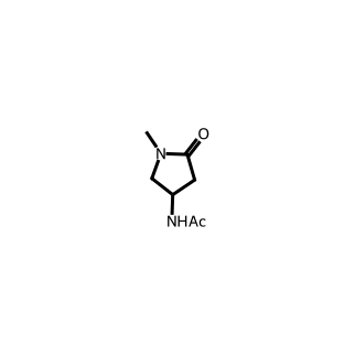 CC(=O)NC1CC(=O)N(C)C1